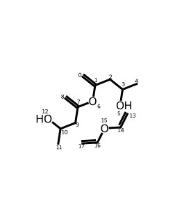 C=C(CC(C)O)OC(=C)CC(C)O.C=COC=C